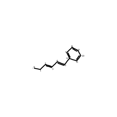 [CH2]CC=CC=[C]c1ccccc1